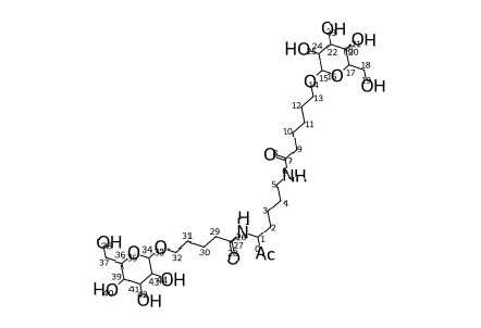 CC(=O)C(CCCCNC(=O)CCCCCOC1OC(CO)[C@H](O)C(O)C1O)NC(=O)CCCCOC1OC(CO)C(O)C(O)C1O